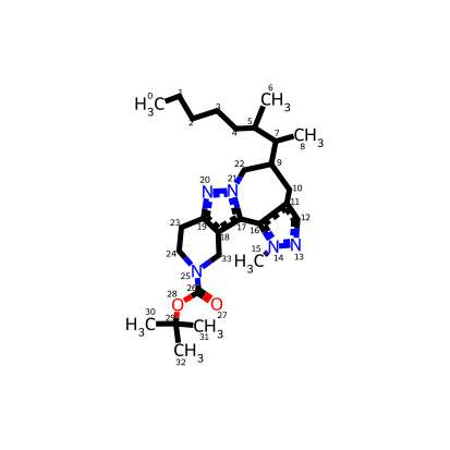 CCCCCC(C)C(C)C1Cc2cnn(C)c2-c2c3c(nn2C1)CCN(C(=O)OC(C)(C)C)C3